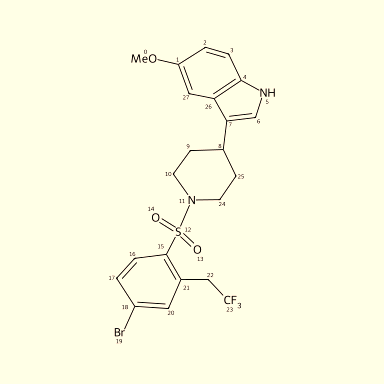 COc1ccc2[nH]cc(C3CCN(S(=O)(=O)c4ccc(Br)cc4CC(F)(F)F)CC3)c2c1